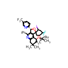 CC(C)c1nc2c(c3c1[C@H](c1ccc(C(F)(F)F)cn1)OC31CCC(F)(F)CC1I)[C@@H](O[Si](C)(C)C(C)(C)C)CC(C)(C)C2